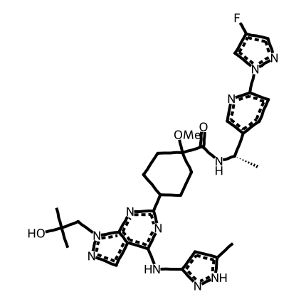 COC1(C(=O)N[C@@H](C)c2ccc(-n3cc(F)cn3)nc2)CCC(c2nc(Nc3cc(C)[nH]n3)c3cnn(CC(C)(C)O)c3n2)CC1